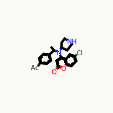 CC(=O)c1ccc(C(C)N(c2cc(=O)oc3ccc(Cl)cc23)C2CCNCC2)cc1